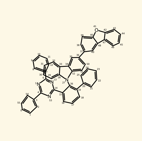 c1ccc(-c2nc(-c3ccccc3)nc(-c3cccc(-c4ccccc4)c3-n3c4ccccc4c4cc(-c5ccc6oc7ccccc7c6c5)ccc43)n2)cc1